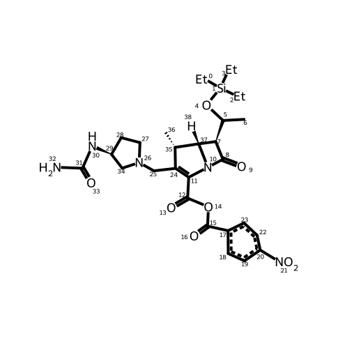 CC[Si](CC)(CC)OC(C)[C@H]1C(=O)N2C(C(=O)OC(=O)c3ccc([N+](=O)[O-])cc3)=C(CN3CC[C@H](NC(N)=O)C3)[C@H](C)[C@H]12